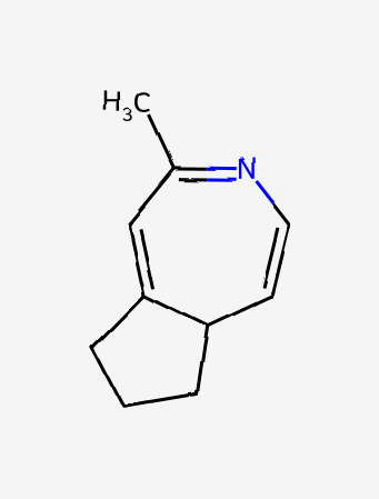 CC1=NC=CC2CCCC2=C1